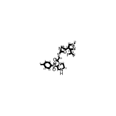 Cc1ccc(S(=O)(=O)C2CNCCN2C(=O)CSc2nnc(-c3cn(C)nc3C(F)F)o2)cc1